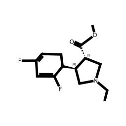 CCN1C[C@@H](C(=O)OC)[C@H](C2CC=C(F)C=C2F)C1